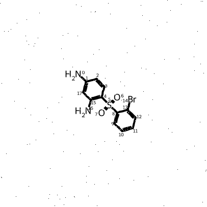 Nc1ccc(S(=O)(=O)c2ccccc2Br)c(N)c1